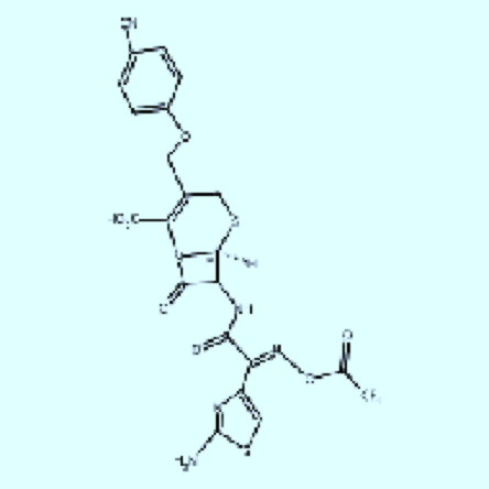 N#Cc1ccc(OCC2=C(C(=O)O)N3C(=O)C(NC(=O)C(=NOC(=O)C(F)(F)F)c4csc(N)n4)[C@@H]3SC2)cc1